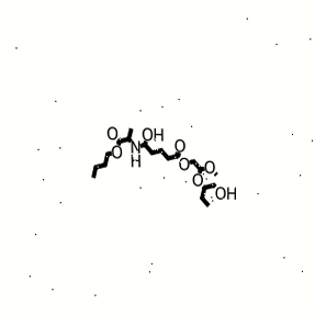 CCCCOC(=O)C(C)NC(O)CCCC(=O)OCC(OC)OC(CC)CO